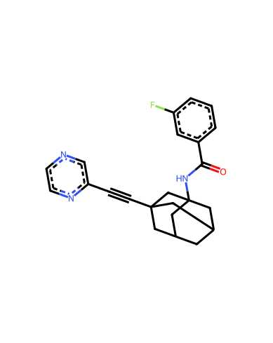 O=C(NC12CC3CC(CC(C#Cc4cnccn4)(C3)C1)C2)c1cccc(F)c1